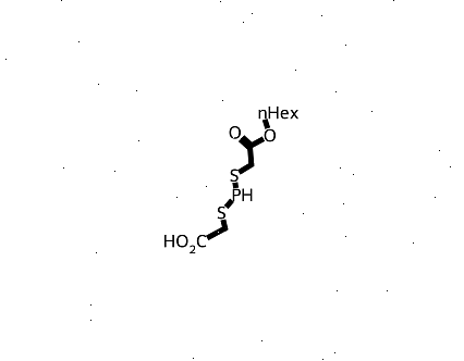 CCCCCCOC(=O)CSPSCC(=O)O